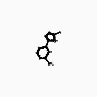 Cc1ccc(-c2cccc(N)n2)s1